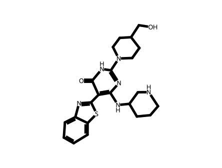 O=c1[nH]c(N2CCC(CO)CC2)nc(NC2CCCNC2)c1-c1nc2ccccc2s1